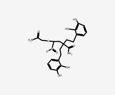 NC(=O)CCC(CC(CCc1cccc(O)c1O)(CCc1cccc(O)c1O)C(N)=O)[N+](=O)[O-]